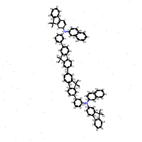 CC1(C)C2=C(C=CC(N(c3cccc(-c4ccc5c(c4)C(C)(C)c4cc(-c6ccc7c(c6)C(C)(C)c6cc(-c8cccc(N(c9ccc%10c(c9)C(C)(C)c9ccccc9-%10)c9ccc%10ccccc%10c9)c8)ccc6-7)ccc4-5)c3)c3ccc4ccccc4c3)C2)c2ccccc21